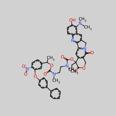 CCC1(OC(=O)N(C)CCN(C)C(=O)OC(C)c2ccc([N+](=O)[O-])c(Oc3ccc(-c4ccccc4)cc3)c2)C(=O)OCc2c1cc1n(c2=O)Cc2cc3c(N(C)C)c(O)ccc3nc2-1